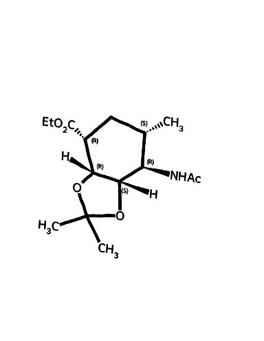 CCOC(=O)[C@@H]1C[C@H](C)[C@@H](NC(C)=O)[C@@H]2OC(C)(C)O[C@@H]21